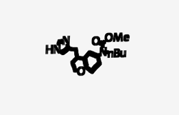 CCCCN(C(=O)OC)c1ccc2c(c1)C(Cc1c[nH]cn1)CCO2